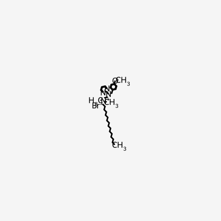 CCCCCCCCCCCCCCCC[N+](C)(C)CCN(Cc1ccc(OC)cc1)c1ncccn1.[Br-]